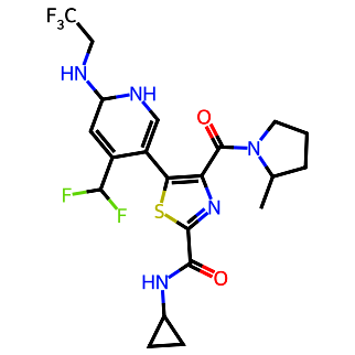 CC1CCCN1C(=O)c1nc(C(=O)NC2CC2)sc1C1=CNC(NCC(F)(F)F)C=C1C(F)F